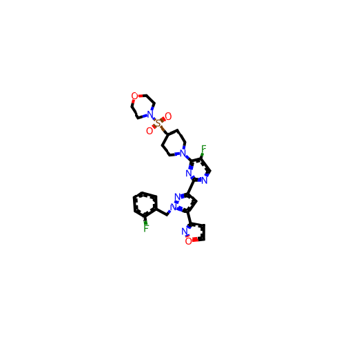 O=S(=O)(C1CCN(c2nc(-c3cc(-c4ccon4)n(Cc4ccccc4F)n3)ncc2F)CC1)N1CCOCC1